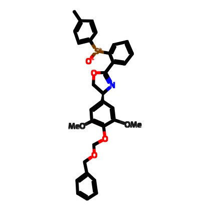 COc1cc([C@H]2COC(c3ccccc3[S+]([O-])c3ccc(C)cc3)=N2)cc(OC)c1OCOCc1ccccc1